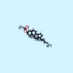 CC(C)CCCCC1CCC2C3CC=C4C[C@@H](OC(=O)C(C)C)CC[C@]4(C)C3CC[C@]12C